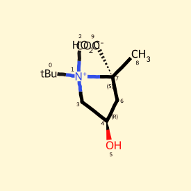 CC(C)(C)[N+]1(C(=O)[O-])C[C@H](O)C[C@@]1(C)C(=O)O